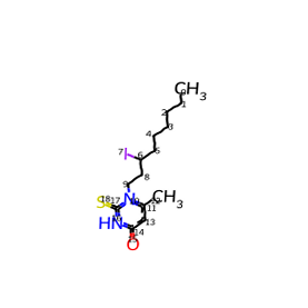 CCCCCCC(I)CCn1c(C)cc(=O)[nH]c1=S